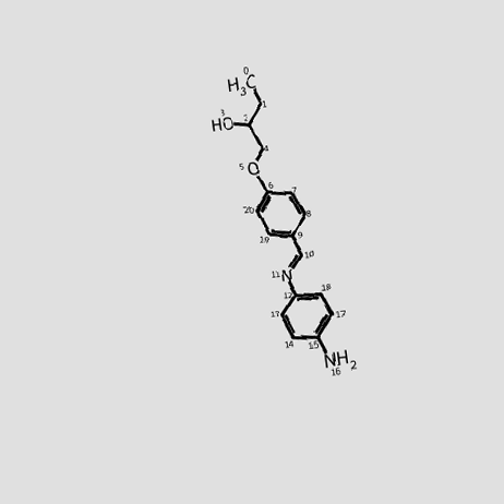 CCC(O)COc1ccc(/C=N/c2ccc(N)cc2)cc1